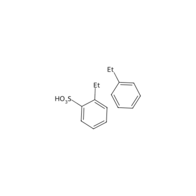 CCc1ccccc1.CCc1ccccc1S(=O)(=O)O